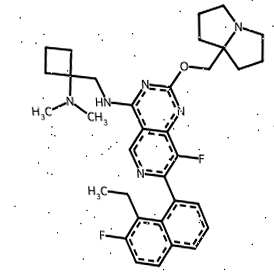 CCc1c(F)ccc2cccc(-c3ncc4c(NCC5(N(C)C)CCC5)nc(OCC56CCCN5CCC6)nc4c3F)c12